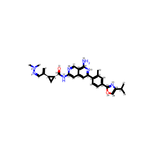 C=C(/C=N\N(C)C)[C@@H]1C[C@H]1C(=O)Nc1cc2cc(-c3ccc(-c4nc(C(C)C)co4)cc3C)nc(N)c2cn1